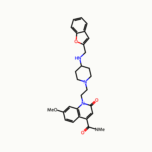 CNC(=O)c1cc(=O)n(CCN2CCC(NCc3cc4ccccc4o3)CC2)c2cc(OC)ccc12